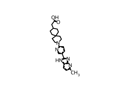 Cc1ccc2[nH]c(-c3ccc(N4CCC5(CCC(CC(=O)O)CC5)CC4)nc3)nc2n1